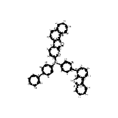 c1ccc(-c2ccc(N(c3ccc(-c4cccc5c4sc4ccccc45)cc3)c3ccc4c(n3)oc3c5ccccc5ccc43)cc2)cc1